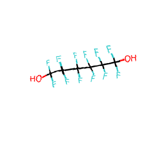 OC(F)(F)C(F)(F)C(F)(F)C(F)(F)C(F)(F)C(O)(F)F